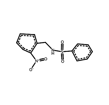 O=[N+]([O-])c1ccccc1CNS(=O)(=O)c1ccccc1